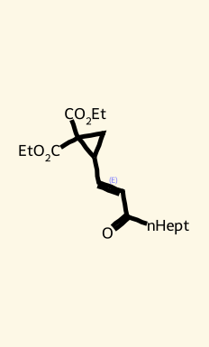 CCCCCCCC(=O)/C=C/C1CC1(C(=O)OCC)C(=O)OCC